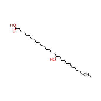 CCCCCC=CCC=CCC(O)CCCCCCCCCCCCCCCC(=O)O